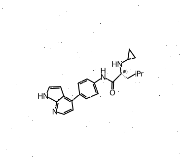 CC(C)C[C@@H](NC1CC1)C(=O)Nc1ccc(-c2ccnc3[nH]ccc23)cc1